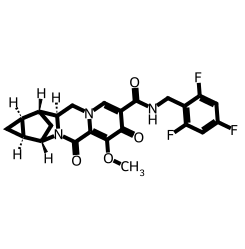 COc1c2n(cc(C(=O)NCc3c(F)cc(F)cc3F)c1=O)C[C@@H]1[C@@H]3C[C@@H]([C@H]4C[C@@H]34)N1C2=O